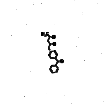 CC(=O)CC(=O)Cc1ccc(C(=O)c2ccccc2)cc1